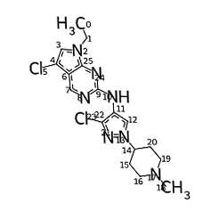 CCn1cc(Cl)c2cnc(Nc3cn(C4CCN(C)CC4)nc3Cl)nc21